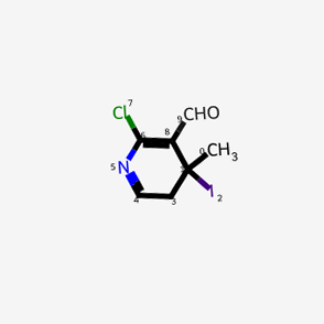 CC1(I)CC=NC(Cl)=C1C=O